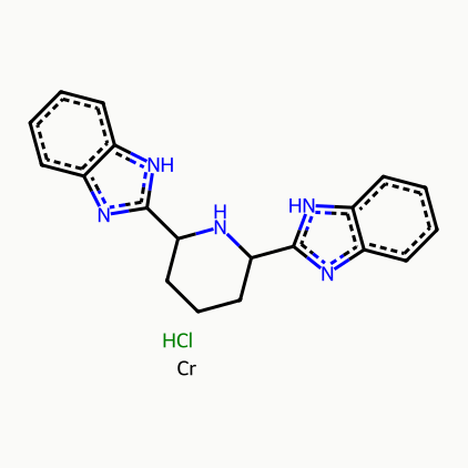 Cl.[Cr].c1ccc2[nH]c(C3CCCC(c4nc5ccccc5[nH]4)N3)nc2c1